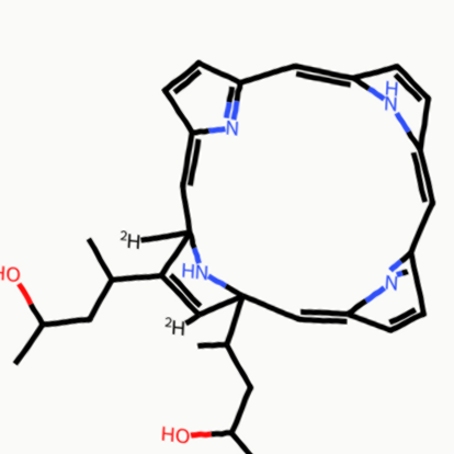 [2H]C1=C(C(C)CC(C)O)C2([2H])C=C3C=CC(=N3)C=c3ccc([nH]3)=CC3=NC(=CC1(C(C)CC(C)O)N2)C=C3